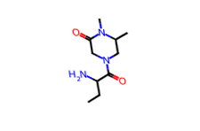 CCC(N)C(=O)N1CC(=O)N(C)C(C)C1